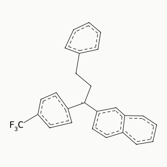 FC(F)(F)c1ccc([C](CCc2ccccc2)c2ccc3ccccc3c2)cc1